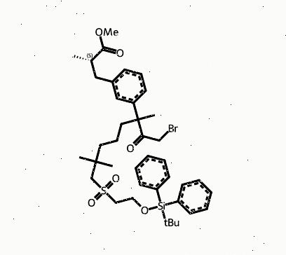 COC(=O)[C@@H](C)Cc1cccc(C(C)(CCCC(C)(C)CS(=O)(=O)CCO[Si](c2ccccc2)(c2ccccc2)C(C)(C)C)C(=O)CBr)c1